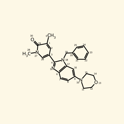 Cc1cc(-c2nc3ccc(N4CCOCC4)cc3n2Cc2ccccc2)cn(C)c1=O